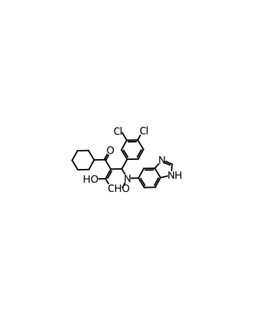 CN(c1ccc2[nH]cnc2c1)C(/C(C(=O)C1CCCCC1)=C(/O)C=O)c1ccc(Cl)c(Cl)c1